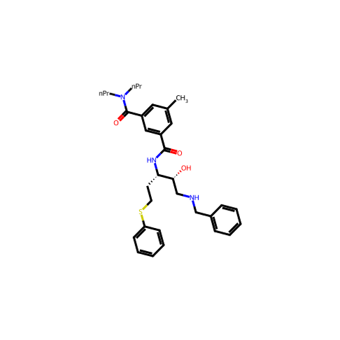 CCCN(CCC)C(=O)c1cc(C)cc(C(=O)N[C@@H](CCSc2ccccc2)[C@H](O)CNCc2ccccc2)c1